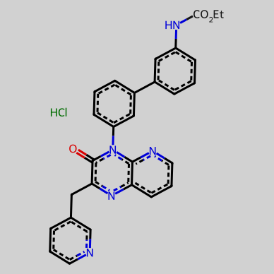 CCOC(=O)Nc1cccc(-c2cccc(-n3c(=O)c(Cc4cccnc4)nc4cccnc43)c2)c1.Cl